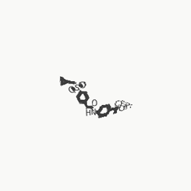 CC(C)OC(C)(c1ccc(NC(=O)Cc2ccc(S(=O)(=O)CC3CC3)cc2)cc1)C(F)(F)F